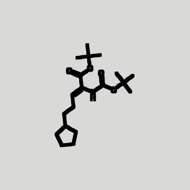 CC(C)(C)OC(=O)NC(=CCCC1CCCC1)C(=O)OC(C)(C)C